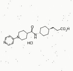 Cl.O=C(O)CC[C@H]1CC[C@H](NC(=O)C2CCN(c3ccncc3)CC2)CC1